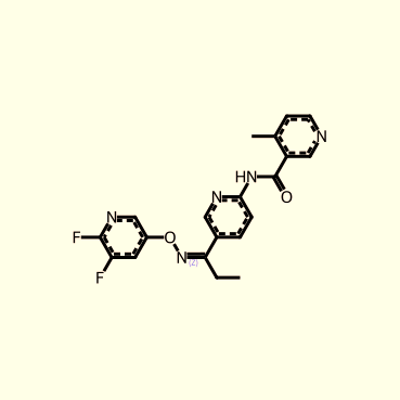 CC/C(=N/Oc1cnc(F)c(F)c1)c1ccc(NC(=O)c2cnccc2C)nc1